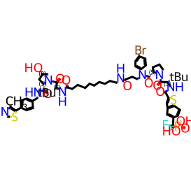 Cc1ncsc1-c1ccc(CNC(=O)[C@@H]2C[C@@H](O)CN2C(=O)[C@@H](NC(=O)CCCCCCCCCNC(=O)CCN(C(=O)[C@@H]2CCCN2C(=O)[C@@H](NC(=O)c2cc3cc(C(F)(F)P(=O)(O)O)ccc3s2)C(C)(C)C)c2ccc(Br)cc2)C(C)(C)C)cc1